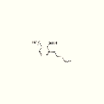 CCCCCCCCCCCCc1cccc(C(=O)O)c1S(=O)(=O)O